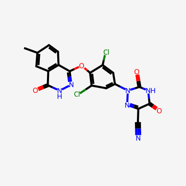 Cc1ccc2c(Oc3c(Cl)cc(-n4nc(C#N)c(=O)[nH]c4=O)cc3Cl)n[nH]c(=O)c2c1